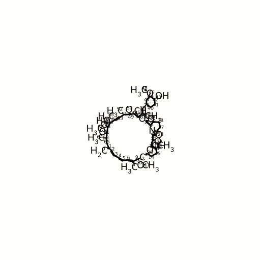 C=C1/C=C/C=C/C=C(\C)[C@@H](OC)CC2CC[C@@H](C)[C@@](O)(O2)C(=O)C(=O)N2CCCCC2C(=O)O[C@](C)(C(C)C[C@@H]2CC[C@@H](O)[C@H](OC)C2)CC(=O)[C@H](C)/C=C(\C)[C@@H](O)[C@@H](OC)C(=O)[C@H](C)C1